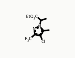 CCOC(=O)C(C)n1nc(C(F)(F)F)c(Cl)c1C